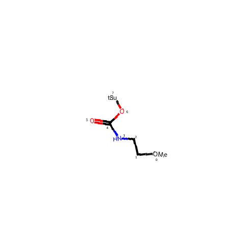 COCCNC(=O)OC(C)(C)C